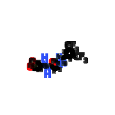 O=C(/C=C\n1cnc(-c2cc(C(F)(F)F)cc(C(F)(F)F)c2)n1)NNC1CCS(=O)(=O)C1